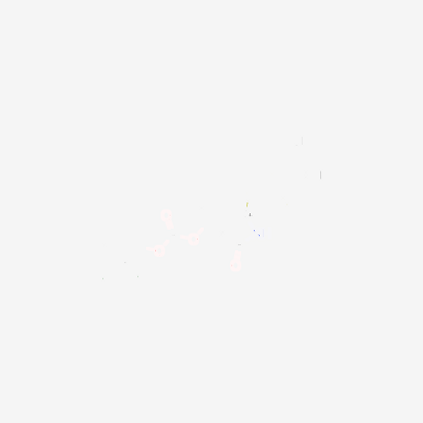 CC(C)SC(=S)S[C@H]1NC(=O)[C@@H]1C(C)OC(=O)OCC(Cl)(Cl)Cl